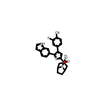 N#Cc1ccc(-c2cc(C(=O)N3C4CCC3CC(N)C4)sc2-c2ccc3cc[nH]c3c2)cc1F